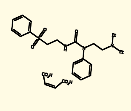 CCN(CC)CCN(C(=O)NCCS(=O)(=O)c1ccccc1)c1ccccc1.O=C(O)/C=C\C(=O)O